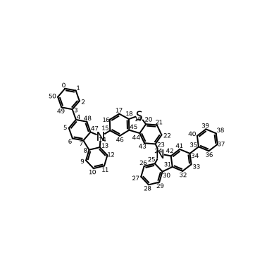 c1ccc(-c2ccc3c4ccccc4n(-c4ccc5sc6ccc(-n7c8ccccc8c8ccc(-c9ccccc9)cc87)cc6c5c4)c3c2)cc1